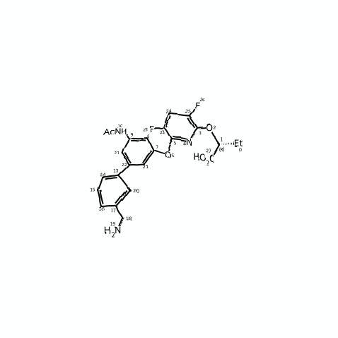 CC[C@@H](Oc1nc(Oc2cc(NC(C)=O)cc(-c3cccc(CN)c3)c2)c(F)cc1F)C(=O)O